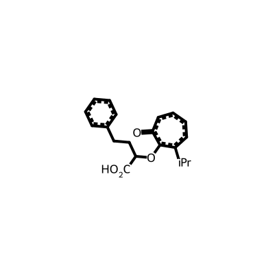 CC(C)c1ccccc(=O)c1OC(CCc1ccccc1)C(=O)O